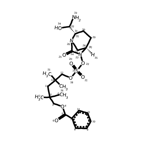 CC(C)(COC(=O)c1ccccc1)CC(C)(C)COS(=O)(=O)ON1C(=O)N2C[C@H]1CC[C@H]2C(N)O